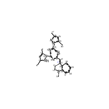 CC1=CC(C)NN1c1nc(/C=C2\CCN(C)c3ccccc32)nc(-n2nc(C)cc2C)n1